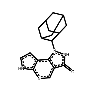 O=c1[nH]n(C2C3CC4CC(C3)CC2C4)c2c1cnc1[nH]ccc12